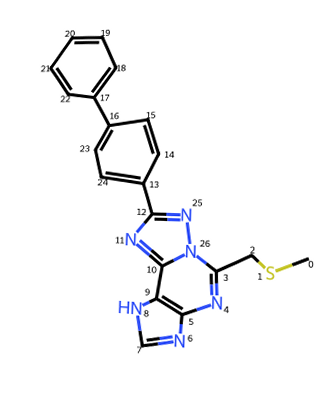 CSCc1nc2nc[nH]c2c2nc(-c3ccc(-c4ccccc4)cc3)nn12